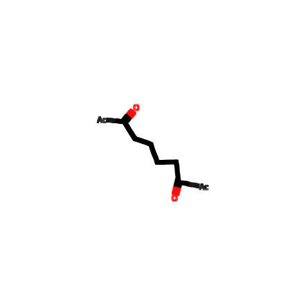 CC(=O)C(=O)CCCCC(=O)C(C)=O